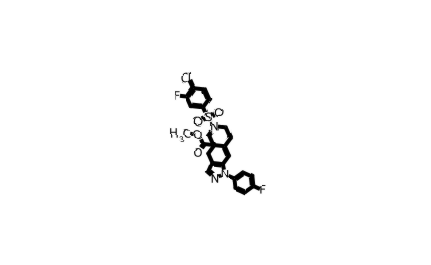 COC(=O)C12Cc3cnn(-c4ccc(F)cc4)c3C=C1CCN(S(=O)(=O)c1ccc(Cl)c(F)c1)C2